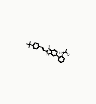 CC(=O)Nc1ccccc1-c1ccc2[nH]c(C=Cc3ccc(C(C)(C)C)cc3)nc2c1